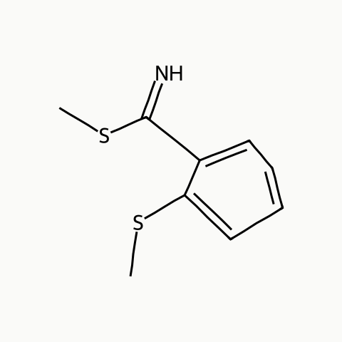 CSC(=N)c1ccccc1SC